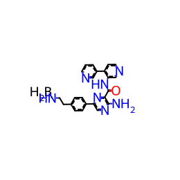 BNCCc1ccc(-c2cnc(N)c(C(=O)Nc3cnccc3-c3cccnc3)n2)cc1